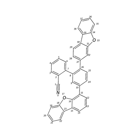 N#Cc1ccccc1-c1cc(-c2cccc3c2oc2ccccc23)ccc1-c1ccc2c(c1)oc1ccccc12